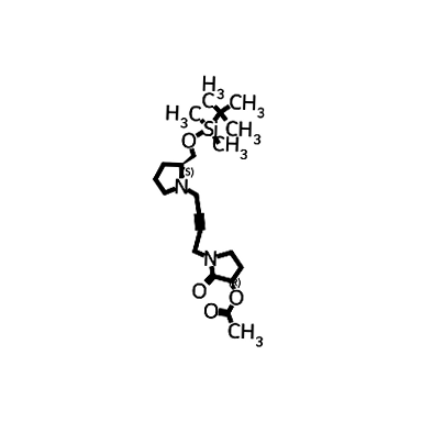 CC(=O)O[C@@H]1CCN(CC#CCN2CCC[C@H]2CO[Si](C)(C)C(C)(C)C)C1=O